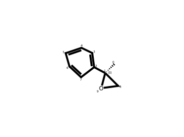 C[C@]1(c2ccccc2)CO1